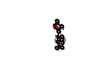 c1ccc2c(c1)Oc1ccccc1C21c2cc(-c3ccc4c(c3)c3ccccc3n4-c3ncccc3-n3c4ccccc4c4ccccc43)cnc2-c2ncc(-n3c4ccccc4c4ccccc43)cc21